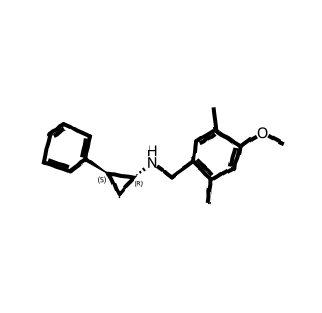 COc1cc(C)c(CN[C@@H]2C[C@H]2c2ccccc2)cc1C